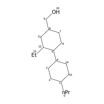 CCCC1CCC(C2CCC(CO)CC2CC)CC1